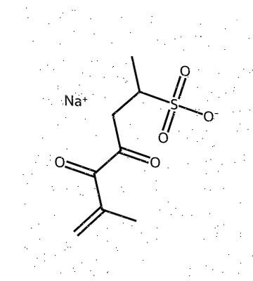 C=C(C)C(=O)C(=O)CC(C)S(=O)(=O)[O-].[Na+]